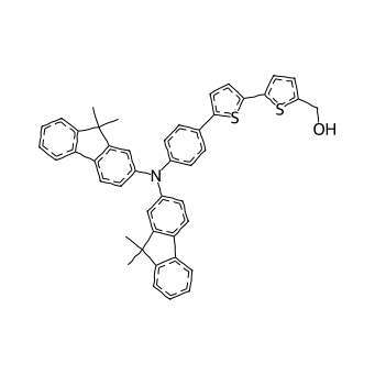 CC1(C)c2ccccc2-c2ccc(N(c3ccc(-c4ccc(-c5ccc(CO)s5)s4)cc3)c3ccc4c(c3)C(C)(C)c3ccccc3-4)cc21